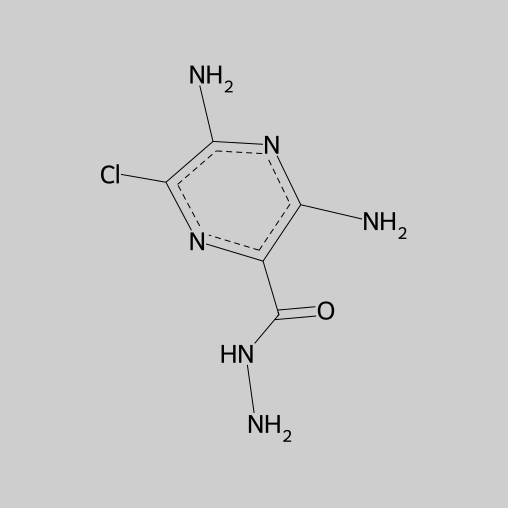 NNC(=O)c1nc(Cl)c(N)nc1N